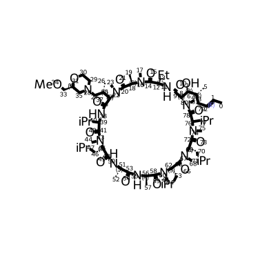 C/C=C/C[C@@H](C)[C@@H](O)[C@H]1C(=O)N[C@@H](CC)C(=O)N(C)[C@H](C)C(=O)N(C)[C@@H]([C@@H](C)CN2CCO[C@H](COC)C2)C(=O)NC(C(C)C)C(=O)N(C)[C@@H](CC(C)C)C(=O)N[C@@H](C)C(=O)N[C@H](C)C(=O)N(C)[C@@H](CC(C)C)C(=O)N(C)[C@@H](CC(C)C)C(=O)N(C)C(C(C)C)C(=O)N1C